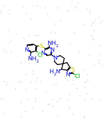 Nc1nc(N2CCC3(CC2)Cc2sc(Cl)nc2C3N)cnc1Sc1ccnc(N)c1Cl